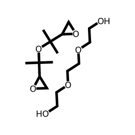 CC(C)(OC(C)(C)C1CO1)C1CO1.OCCOCCOCCO